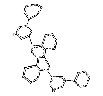 c1ccc(-c2cncc(-c3cc4c5ccccc5c(-c5cncc(-c6ccccc6)c5)cc4c4ccccc34)c2)cc1